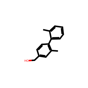 Cc1ccccc1-c1ccc(CO)cc1C